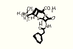 C[Si](C)(C)C1=CC2=C(C(=O)O)N3C(=O)[C@@H](NC(=O)Cc4ccccc4)[C@H]3S[C@@H]12